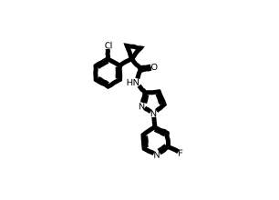 O=C(Nc1ccn(-c2ccnc(F)c2)n1)C1(c2ccccc2Cl)CC1